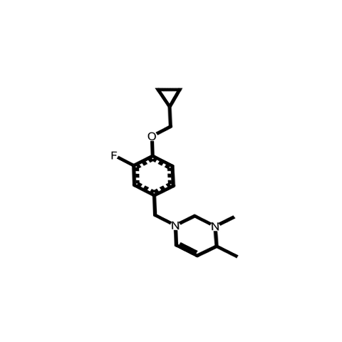 CC1C=CN(Cc2ccc(OCC3CC3)c(F)c2)CN1C